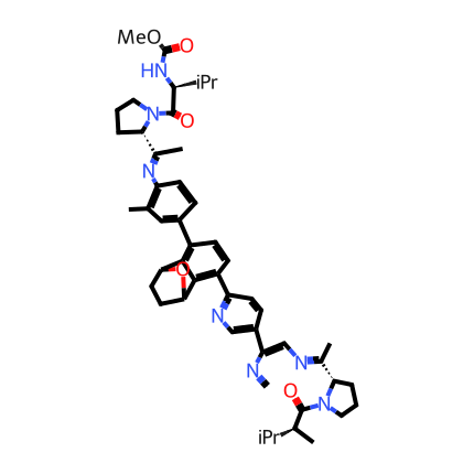 C=N/C(=C\N=C(/C)[C@@H]1CCCN1C(=O)[C@@H](C)C(C)C)c1ccc(-c2ccc(-c3ccc(/N=C(\C)[C@@H]4CCCN4C(=O)[C@@H](NC(=O)OC)C(C)C)c(C)c3)c3c2C2CCC3O2)nc1